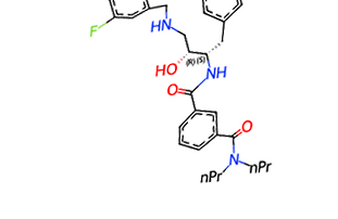 CCCN(CCC)C(=O)c1cccc(C(=O)N[C@@H](Cc2ccccc2)[C@H](O)CNCc2ccc(F)c(F)c2)c1